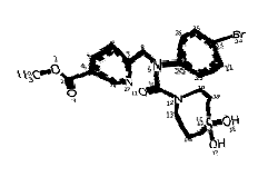 COC(=O)c1ccc(CN(C(=O)N2CCS(O)(O)CC2)c2ccc(Br)cc2)nc1